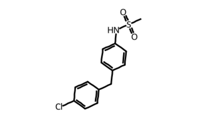 CS(=O)(=O)Nc1ccc(Cc2ccc(Cl)cc2)cc1